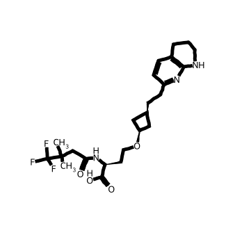 CC(C)(CC(=O)N[C@@H](CCO[C@H]1C[C@@H](CCc2ccc3c(n2)NCCC3)C1)C(=O)O)C(F)(F)F